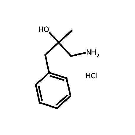 CC(O)(CN)Cc1ccccc1.Cl